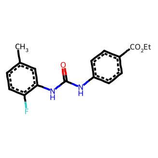 CCOC(=O)c1ccc(NC(=O)Nc2cc(C)ccc2F)cc1